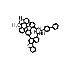 CC1(C)C2=C(C=CCC2)C2(c3ccc(-c4ccc5c(c4)sc4ccccc45)cc3-c3c(C4=NC(c5ccccc5)NC(c5ccc(-c6ccccc6)cc5)=N4)cccc32)c2ccccc21